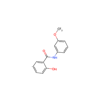 O=C(Nc1cccc(OC(F)(F)F)c1)c1c[c]ccc1O